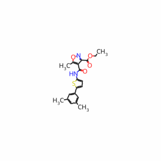 CCOC(=O)c1noc(C)c1C(=O)Nc1ccc(-c2cc(C)cc(C)c2)s1